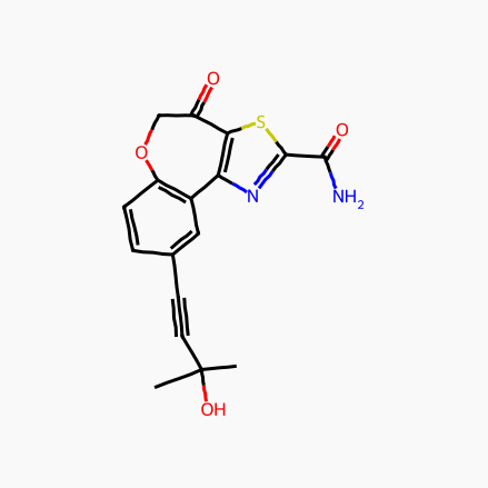 CC(C)(O)C#Cc1ccc2c(c1)-c1nc(C(N)=O)sc1C(=O)CO2